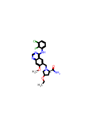 CCOC1C[C@H](C(N)=O)N(Cc2cc3c(Nc4cccc(Cl)c4F)ncnc3cc2OC)C1